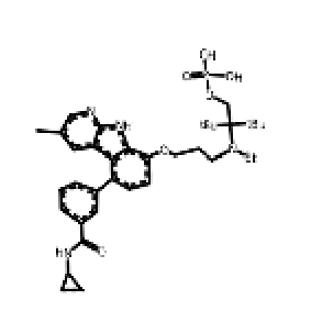 CCN(CCCOc1ccc(-c2cccc(C(=O)NC3CC3)c2)c2c1[nH]c1ncc(C)cc12)C(COP(=O)(O)O)(C(C)(C)C)C(C)(C)C